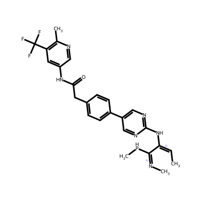 C/C=C(Nc1ncc(-c2ccc(CC(=O)Nc3cnc(C)c(C(F)(F)F)c3)cc2)cn1)\C(=N/C)PC